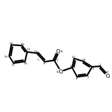 O=Cc1ccc(OC(=O)/C=C/c2ccccc2)cc1